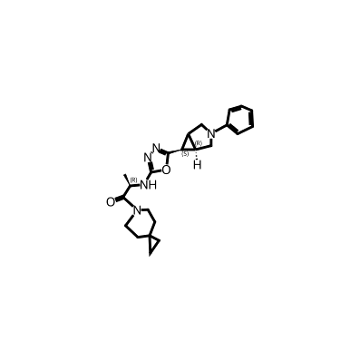 C[C@@H](Nc1nnc([C@H]2C3CN(c4ccccc4)C[C@H]32)o1)C(=O)N1CCC2(CC1)CC2